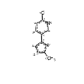 Cc1nc(-c2[c]nc(Cl)cc2)cs1